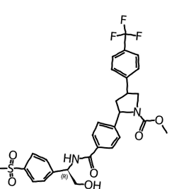 CCS(=O)(=O)c1ccc([C@H](CO)NC(=O)c2ccc(C3CC(c4ccc(C(F)(F)F)cc4)CN3C(=O)OC)cc2)cc1